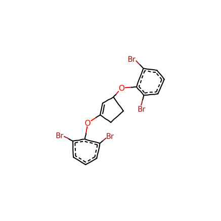 Brc1cccc(Br)c1OC1=CC(Oc2c(Br)cccc2Br)CC1